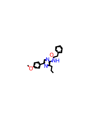 CCCc1nc(-c2ccc(OC)cc2)cnc1NC(=O)Cc1ccccc1